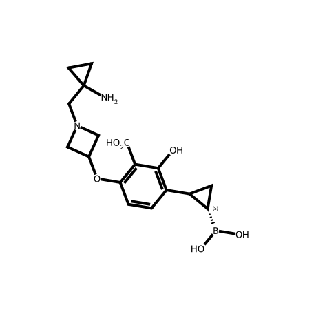 NC1(CN2CC(Oc3ccc(C4C[C@@H]4B(O)O)c(O)c3C(=O)O)C2)CC1